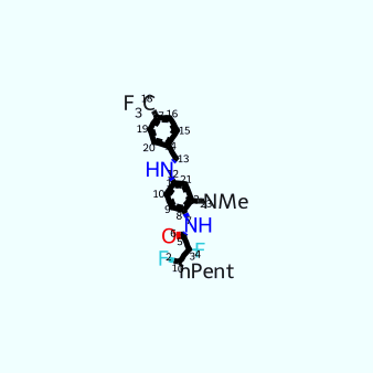 CCCCC[C@@H](F)[C@@H](F)C(=O)Nc1ccc(NCc2ccc(C(F)(F)F)cc2)cc1NC